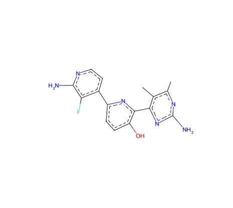 Cc1nc(N)nc(-c2nc(-c3ccnc(N)c3F)ccc2O)c1C